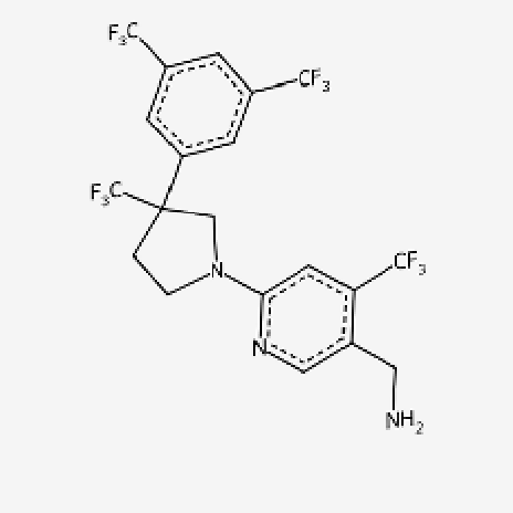 NCc1cnc(N2CCC(c3cc(C(F)(F)F)cc(C(F)(F)F)c3)(C(F)(F)F)C2)cc1C(F)(F)F